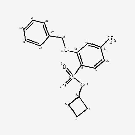 O=S(=O)(OC1CCC1)c1ccc(C(F)(F)F)cc1OCc1ccccc1